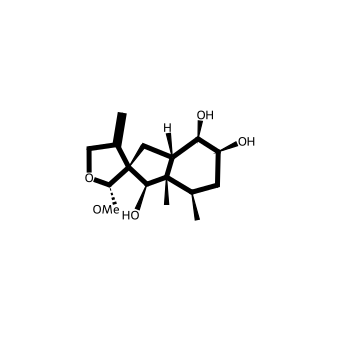 C=C1CO[C@@H](OC)[C@]12C[C@@H]1[C@@H](O)[C@@H](O)C[C@@H](C)[C@]1(C)[C@H]2O